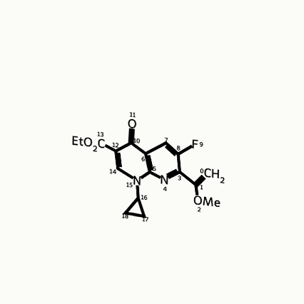 C=C(OC)c1nc2c(cc1F)c(=O)c(C(=O)OCC)cn2C1CC1